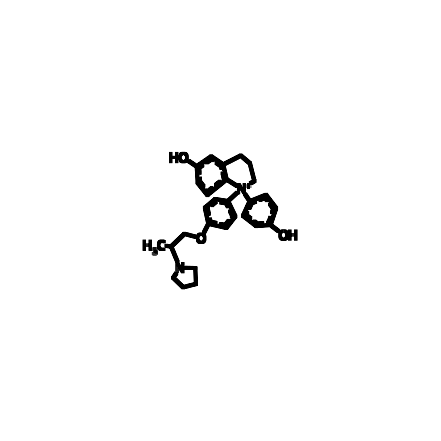 CC(COc1ccc([N+]2(c3ccc(O)cc3)CCCc3cc(O)ccc32)cc1)N1CCCC1